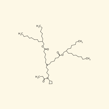 CCCCCCCCC(CCCCCC)COC(=O)CCCCCN(CCCCCC(=O)OCC(CCCCCC)CCCCCCCC)CCCCN(C(=O)CC)C1CCC1